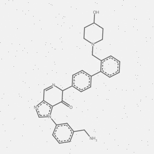 NCc1cccc(-n2cnc3c2C(=O)C(c2ccc(-c4ccccc4CN4CCC(O)CC4)cc2)N=C3)c1